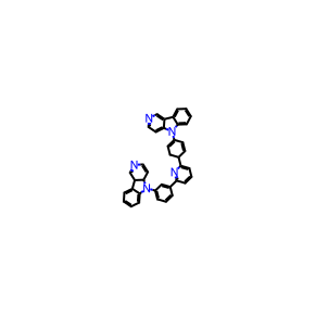 C1=CC2C(C=N1)c1ccccc1N2c1cccc(-c2cccc(C3C=CC(n4c5ccccc5c5cnccc54)=CC3)n2)c1